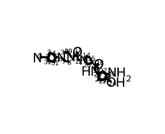 N#Cc1ccc(N2CCN(C(=O)CN3CC[C@@H](C(=O)Nc4ccc(O)c(N)c4)C3)CC2)cc1